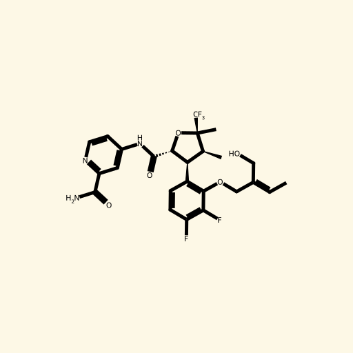 C/C=C(\CO)COc1c([C@H]2[C@H](C(=O)Nc3ccnc(C(N)=O)c3)O[C@@](C)(C(F)(F)F)[C@H]2C)ccc(F)c1F